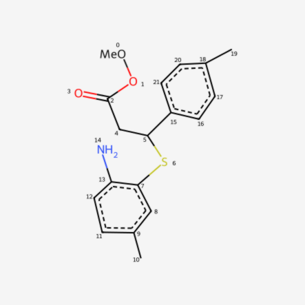 COOC(=O)CC(Sc1cc(C)ccc1N)c1ccc(C)cc1